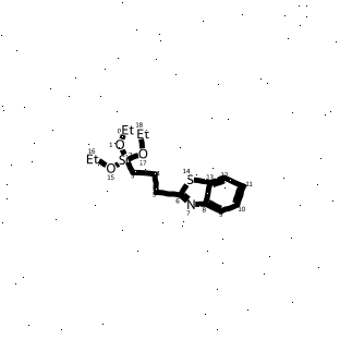 CCO[Si](CCCc1nc2ccccc2s1)(OCC)OCC